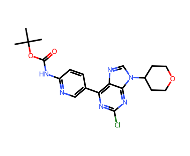 CC(C)(C)OC(=O)Nc1ccc(-c2nc(Cl)nc3c2ncn3C2CCOCC2)cn1